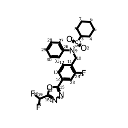 O=S(=O)(C1CCCCC1)N(Cc1ccc(-c2nnc(C(F)F)o2)cc1F)c1ccccc1